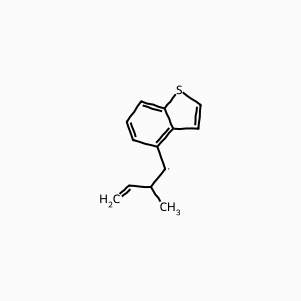 C=CC(C)[CH]c1cccc2sccc12